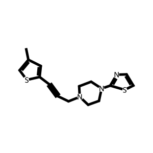 Cc1csc(C#CCN2CCN(c3nccs3)CC2)c1